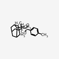 Cc1ccc(S(=O)(=O)NC23CC4CC(C2)C(C(C)(C)C)C(C4)C3)cc1